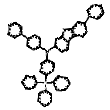 c1ccc(-c2ccc(N(c3ccc([Si](c4ccccc4)(c4ccccc4)c4ccccc4)cc3)c3ccc4c(c3)sc3cc(-c5ccccc5)ccc34)cc2)cc1